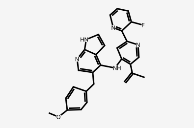 C=C(C)c1cnc(-c2ncccc2F)cc1Nc1c(Cc2ccc(OC)cc2)cnc2[nH]ccc12